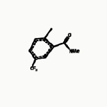 [CH2-][NH2+]C(=O)c1cc(C(F)(F)F)ccc1C